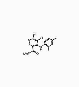 COC(=O)c1cnc(Cl)c(Cl)c1Nc1ccc(I)cc1F